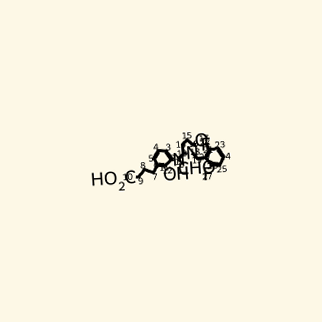 O=CN(c1cccc(CCCC(=O)O)c1O)C1CCC(=O)N1Cc1c(F)cccc1F